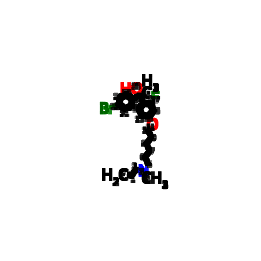 C=CCN(C)CCCCCCOc1ccc([C@@](C)(O)c2ccc(Br)cc2)c(F)c1